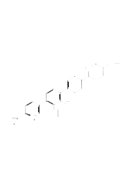 CC1CCC(C2CC=C(c3ccc(-c4ccc(C5CO5)nc4)c(Cl)c3F)CC2)OC1